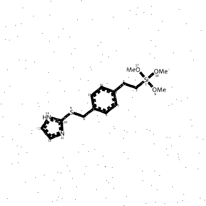 CO[Si](CCc1ccc(CSc2ncc[nH]2)cc1)(OC)OC